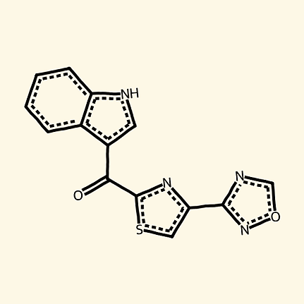 O=C(c1nc(-c2ncon2)cs1)c1c[nH]c2ccccc12